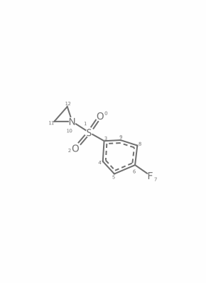 O=S(=O)(c1ccc(F)cc1)N1CC1